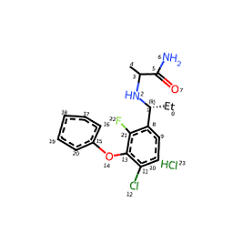 CC[C@@H](NC(C)C(N)=O)c1ccc(Cl)c(Oc2ccccc2)c1F.Cl